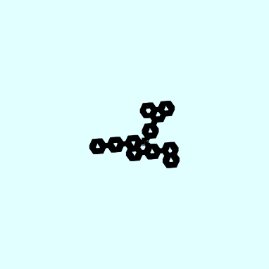 C1=Cc2c(c(-c3ccc(N(c4ccc(-c5ccc(-c6ccccc6)cc5)cc4)c4cc(-c5cccc6ccccc56)ccc4-c4ccccc4)cc3)cc3ccccc23)CC1